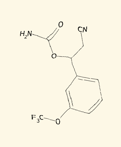 N#CCC(OC(N)=O)c1cccc(OC(F)(F)F)c1